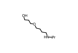 CC(C)NCCCCOCCCO